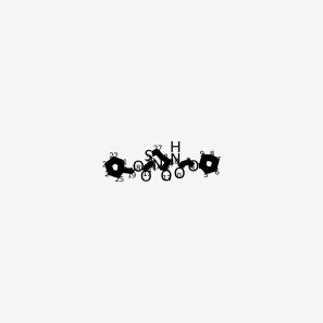 O=C(COc1ccccc1)N[C@@H]1C(=O)N2C(C(=O)OCc3ccccc3)SCC12